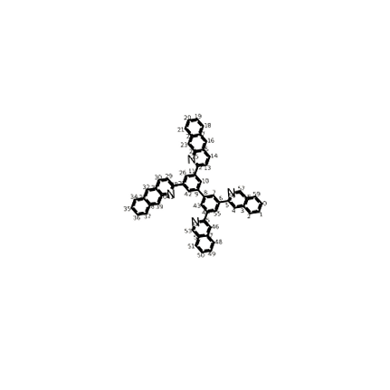 c1ccc2cc(-c3cc(-c4cc(-c5ccc6cc7ccccc7cc6n5)cc(-c5ccc6cc7ccccc7cc6n5)c4)cc(-c4cc5ccccc5cn4)c3)ncc2c1